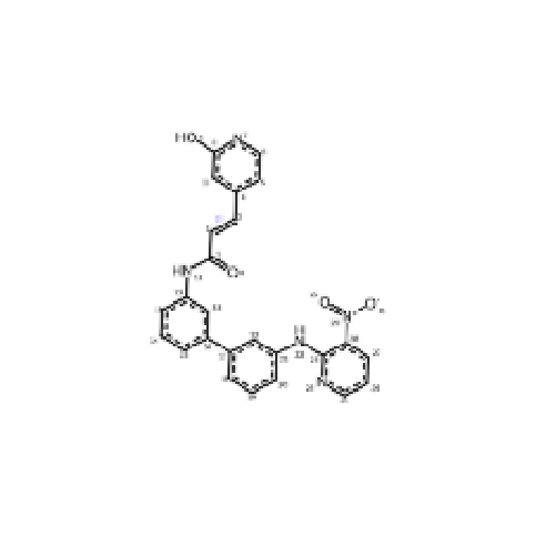 O=C(/C=C/c1ccnc(O)c1)Nc1cccc(-c2cccc(Nc3ncccc3[N+](=O)[O-])c2)c1